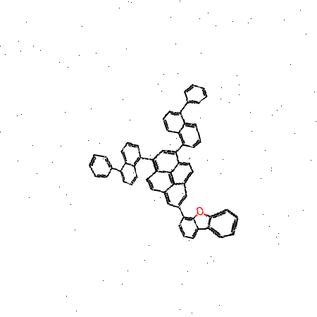 c1ccc(-c2cccc3c(-c4cc(-c5cccc6c(-c7ccccc7)cccc56)c5ccc6cc(-c7cccc8c7oc7ccccc78)cc7ccc4c5c76)cccc23)cc1